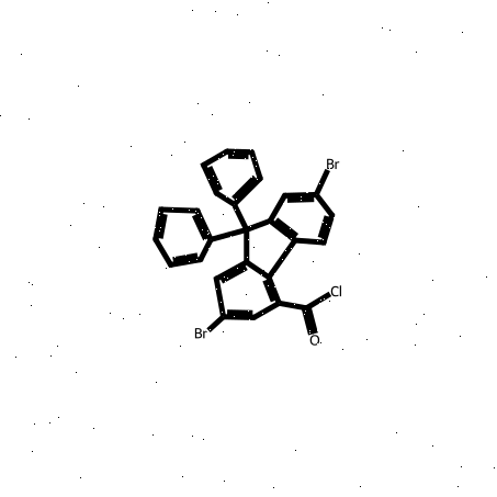 O=C(Cl)c1cc(Br)cc2c1-c1ccc(Br)cc1C2(c1ccccc1)c1ccccc1